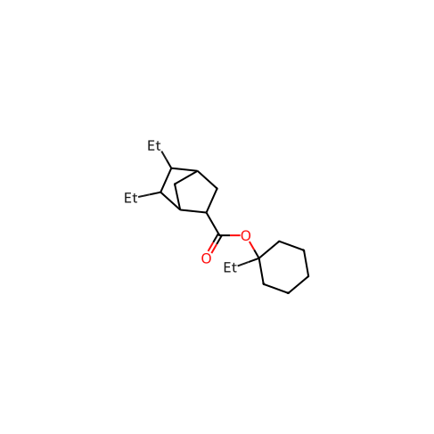 CCC1C2CC(C(=O)OC3(CC)CCCCC3)C(C2)C1CC